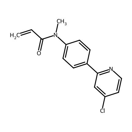 C=CC(=O)N(C)c1ccc(-c2cc(Cl)ccn2)cc1